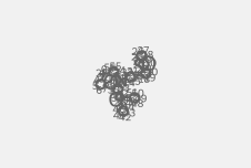 CC1(C)c2ccccc2Oc2c(N(c3ccc(-c4cccc5c4Sc4ccccc4O5)cc3)c3ccc4oc(-c5ccccc5)c(C5=CCCC=C5)c4c3)cccc21